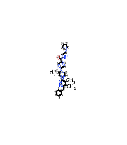 Cc1c(Cc2ccccc2)nnc(N2CCN(c3cnc(C(=O)NCCN4CCCC4)cn3)[C@H](C)C2)c1C